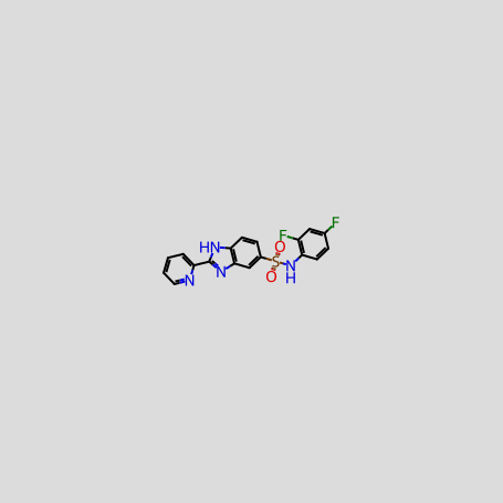 O=S(=O)(Nc1ccc(F)cc1F)c1ccc2[nH]c(-c3ccccn3)nc2c1